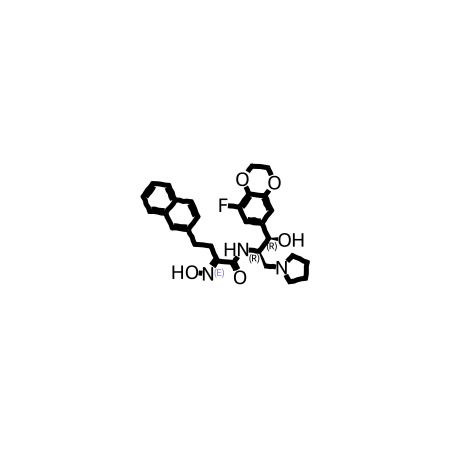 O=C(N[C@H](CN1CCCC1)[C@H](O)c1cc(F)c2c(c1)OCCO2)/C(CCc1ccc2ccccc2c1)=N/O